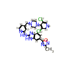 Cc1noc(-c2ccc3nc(Nc4cc(CN5CCN(c6c(Cl)cncc6Cl)CC5)ccn4)[nH]c3c2)n1